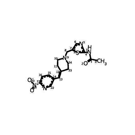 CC(=O)Nc1ncc(CN2CCC(=Cc3ccc([N+](=O)[O-])nc3)CC2)s1